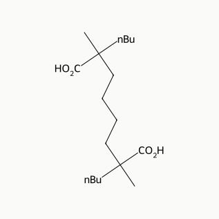 CCCCC(C)(CCCCC(C)(CCCC)C(=O)O)C(=O)O